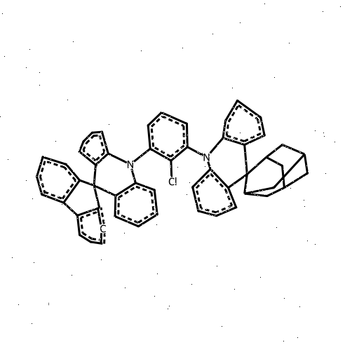 Clc1c(N2c3ccccc3C3(c4ccccc4-c4ccccc43)c3ccccc32)cccc1N1c2ccccc2C2(c3ccccc31)C1CC3CC(C1)CC2C3